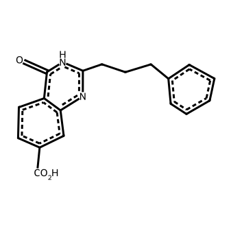 O=C(O)c1ccc2c(=O)[nH]c(CCCc3ccccc3)nc2c1